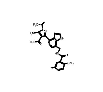 COc1ccc(F)cc1C(=O)NCc1cnc(-c2nn([C@@H](C)C(F)(F)F)c(N)c2C(N)=O)c2cc[nH]c12